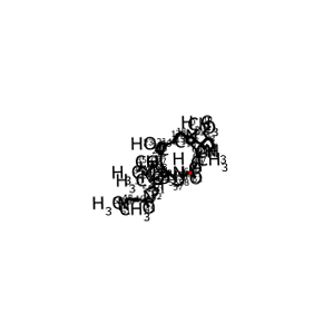 CCn1c(-c2cnccc2COC)c2c3cc(ccc31)-c1cc(O)cc(c1)C[C@H](NC(=O)[C@H](C(C)C)N(C)C(=O)[C@H]1CCN(C(=O)C#CCN(C)C)C1)C(=O)N1CCC[C@H](N1)C(=O)OCC(C)(C)C2